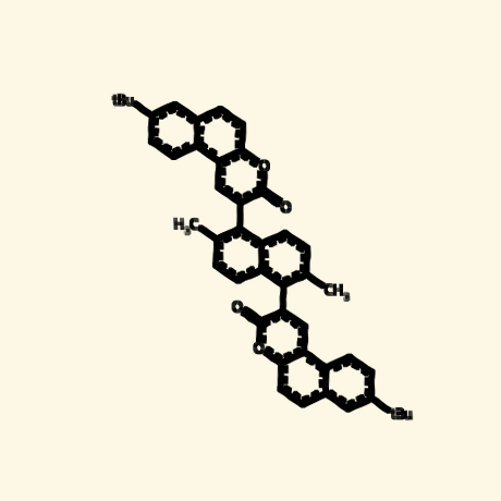 Cc1ccc2c(-c3cc4c(ccc5cc(C(C)(C)C)ccc54)oc3=O)c(C)ccc2c1-c1cc2c(ccc3cc(C(C)(C)C)ccc32)oc1=O